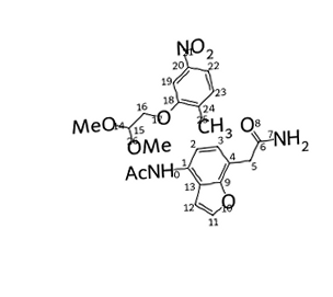 CC(=O)Nc1ccc(CC(N)=O)c2occc12.COC(COc1cc([N+](=O)[O-])ccc1C)OC